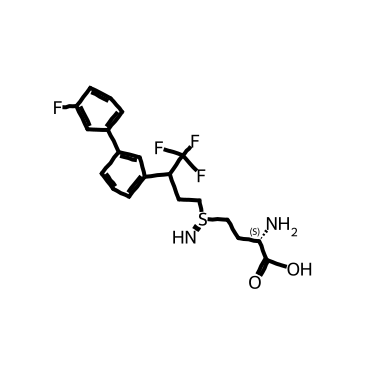 N=S(CCC(c1cccc(-c2cccc(F)c2)c1)C(F)(F)F)CC[C@H](N)C(=O)O